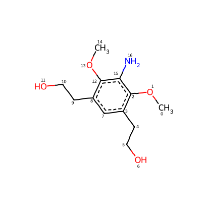 COc1c(CCO)cc(CCO)c(OC)c1N